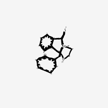 S=C1c2ccccc2C2(c3ccccc3)OCCN12